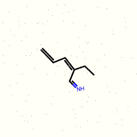 C=C/C=C(\C=N)CC